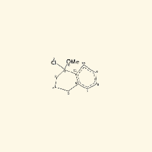 COC1(Cl)CCCc2ccccc21